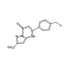 CCOC(=O)c1cc2[nH]c(-c3ccc(CI)cc3)cc(=O)n2n1